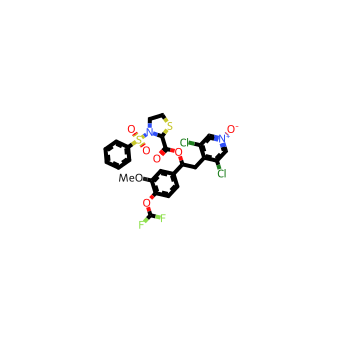 COc1cc(C(Cc2c(Cl)c[n+]([O-])cc2Cl)OC(=O)C2SCCN2S(=O)(=O)c2ccccc2)ccc1OC(F)F